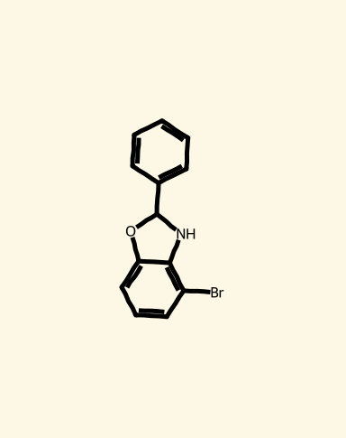 Brc1cccc2c1NC(c1ccccc1)O2